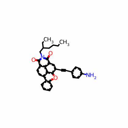 CCCCC(CC)Cn1c(=O)c2ccc3c4ccccc4oc4c(C#Cc5ccc(N)cc5)cc(c1=O)c2c43